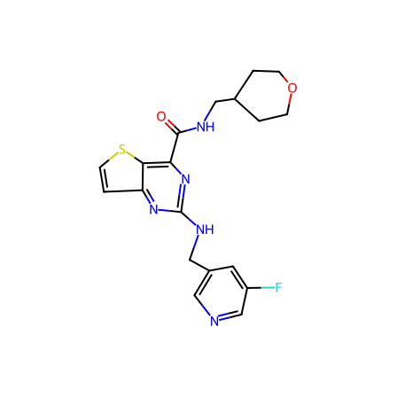 O=C(NCC1CCOCC1)c1nc(NCc2cncc(F)c2)nc2ccsc12